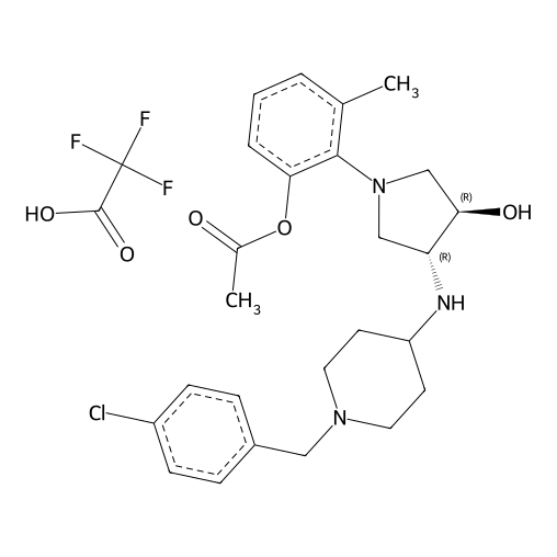 CC(=O)Oc1cccc(C)c1N1C[C@@H](O)[C@H](NC2CCN(Cc3ccc(Cl)cc3)CC2)C1.O=C(O)C(F)(F)F